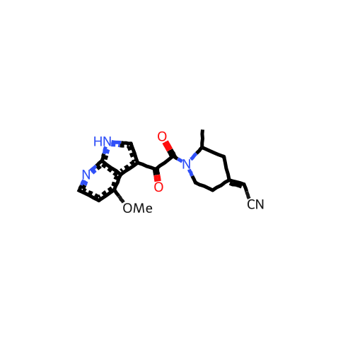 COc1ccnc2[nH]cc(C(=O)C(=O)N3CC/C(=C\C#N)CC3C)c12